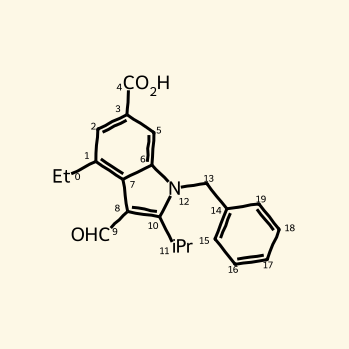 CCc1cc(C(=O)O)cc2c1c(C=O)c(C(C)C)n2Cc1ccccc1